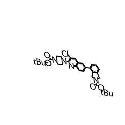 CC(C)(C)OC(=O)N1CCN(c2nc3ccc(-c4cccc5c4CN(C(=O)OC(C)(C)C)C5)cc3cc2Cl)CC1